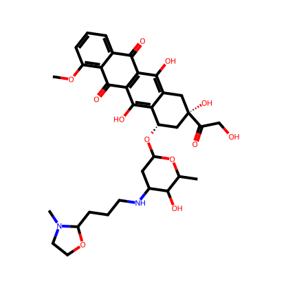 COc1cccc2c1C(=O)c1c(O)c3c(c(O)c1C2=O)C[C@@](O)(C(=O)CO)C[C@@H]3OC1CC(NCCCC2OCCN2C)C(O)C(C)O1